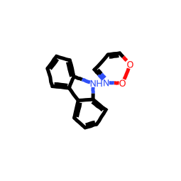 C1=COON=C1.c1ccc2c(c1)[nH]c1ccccc12